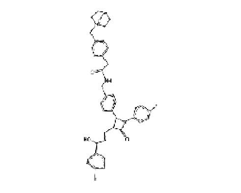 O=C(Cc1ccc(C[N+]23CCC(CC2)CC3)cc1)NCc1ccc(C2C(CCC(O)c3ccc(F)cc3)C(=O)N2c2ccc(F)cc2)cc1